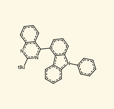 CC(C)(C)c1nc(-c2cccc3c2c2ccccc2n3-c2ccccc2)c2ccccc2n1